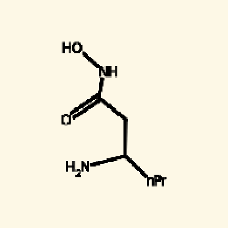 CCCC(N)CC(=O)NO